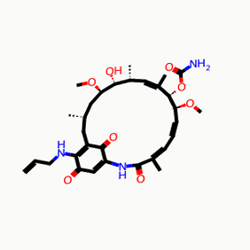 C=CCNC1=C2C[C@H](C)C[C@@H](OC)[C@H](O)[C@H](C)/C=C(/C)[C@H](OC(N)=O)[C@@H](OC)/C=C\C=C(\C)C(=O)NC(=CC1=O)C2=O